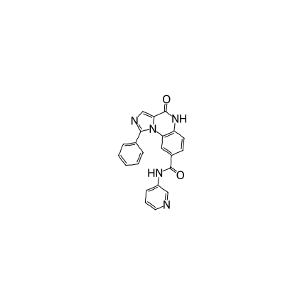 O=C(Nc1cccnc1)c1ccc2[nH]c(=O)c3cnc(-c4ccccc4)n3c2c1